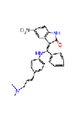 CN(C)CC=Cc1ccc(NC(=C2C(=O)Nc3ccc([N+](=O)[O-])cc32)c2ccccc2)cc1